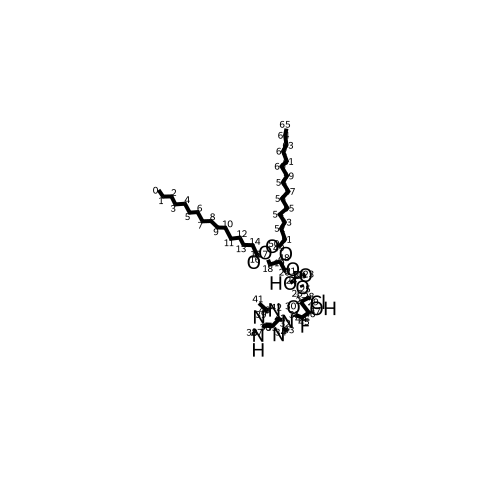 CCCCCCCCCCCCCCCC(=O)OCC(COP(=O)(O)OC[C@@]1(CCl)O[C@@H](n2cnc3c(NC)nc(C)nc32)[C@H](F)[C@@H]1O)OC(=O)CCCCCCCCCCCCCCC